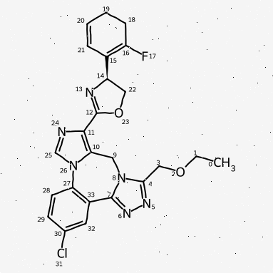 CCOCc1nnc2n1Cc1c(C3=N[C@@H](C4=C(F)CCC=C4)CO3)ncn1-c1ccc(Cl)cc1-2